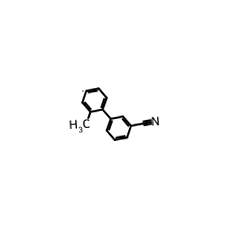 Cc1c[c]ccc1-c1cccc(C#N)c1